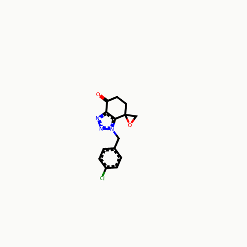 O=C1CCC2(CO2)c2c1nnn2Cc1ccc(Cl)cc1